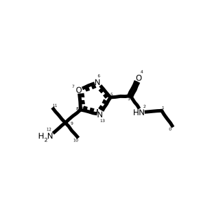 CCNC(=O)c1noc(C(C)(C)N)n1